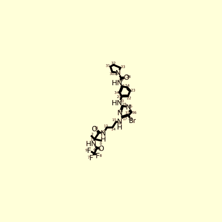 CC(C)(NC(=O)C(F)(F)F)C(=O)NCCCNc1nc(Nc2cccc(NC(=O)N3CCCC3)c2)ncc1Br